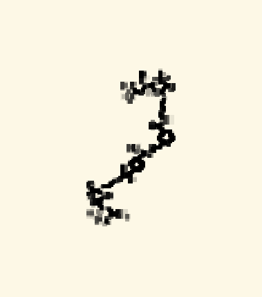 C/C(=N\OCc1cccc(C(=O)NCCCC[C@H](NC(=O)[C@@H](C)CC(C)C)C(N)=O)c1)c1ccc(C(=O)NCCCC[C@H](NC(=O)[C@@H](C)CC(C)C)C(N)=O)cc1